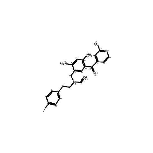 C=CN(CCc1ccc(F)cc1)Cc1cc(C(=N)c2ccnc(C)c2)c(N)cc1NC